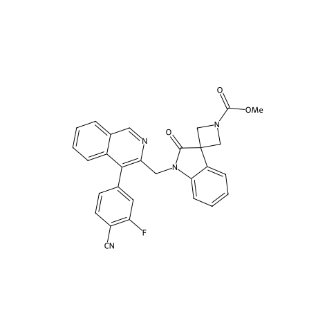 COC(=O)N1CC2(C1)C(=O)N(Cc1ncc3ccccc3c1-c1ccc(C#N)c(F)c1)c1ccccc12